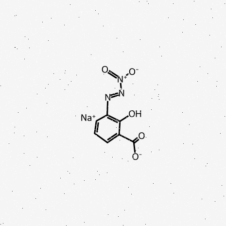 O=C([O-])c1cccc(N=N[N+](=O)[O-])c1O.[Na+]